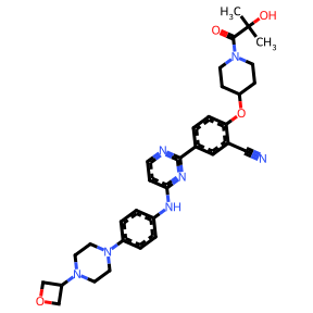 CC(C)(O)C(=O)N1CCC(Oc2ccc(-c3nccc(Nc4ccc(N5CCN(C6COC6)CC5)cc4)n3)cc2C#N)CC1